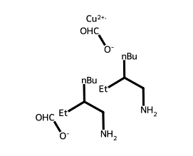 CCCCC(CC)CN.CCCCC(CC)CN.O=C[O-].O=C[O-].[Cu+2]